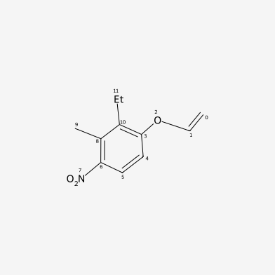 C=COc1ccc([N+](=O)[O-])c(C)c1CC